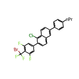 CCCc1ccc(-c2ccc3c(Cl)c(-c4cc(F)c(C(F)(F)Br)c(F)c4)ccc3c2)cc1